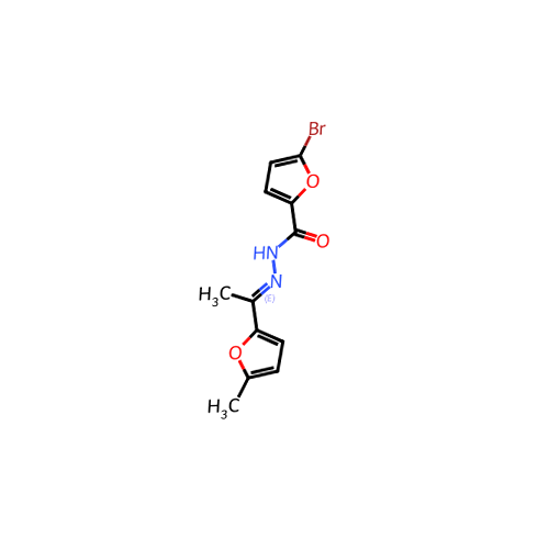 C/C(=N\NC(=O)c1ccc(Br)o1)c1ccc(C)o1